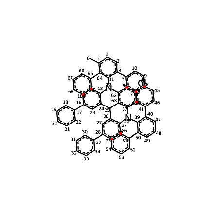 Cc1ccc(-c2ccccc2)c(N2c3ccc(-c4ccccc4)cc3C3c4cc(-c5ccccc5)ccc4N(c4c(-c5ccccc5)cccc4-c4ccccc4)c4cc(Cl)cc2c43)c1-c1ccccc1